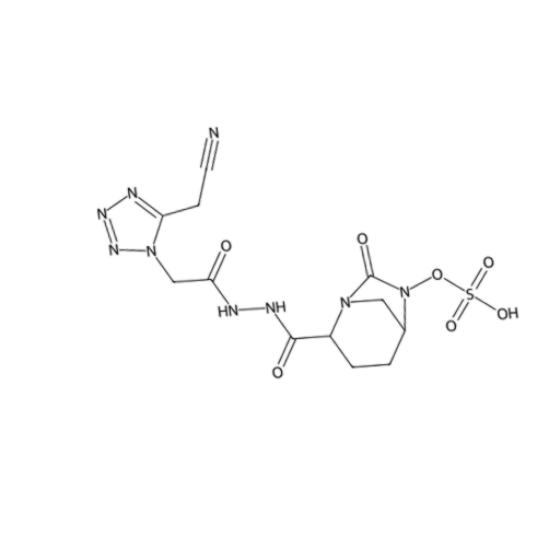 N#CCc1nnnn1CC(=O)NNC(=O)C1CCC2CN1C(=O)N2OS(=O)(=O)O